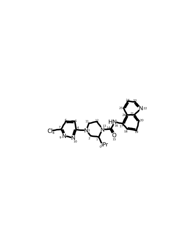 CC(C)C1CN(c2ccc(Cl)nn2)CCN1C(=O)Nc1cccc2ncccc12